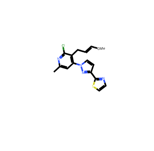 COC=CCc1c(-n2ccc(-c3nccs3)n2)cc(C)nc1Cl